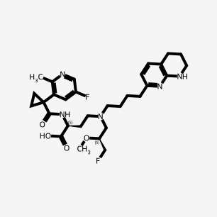 CO[C@H](CF)CN(CCCCc1ccc2c(n1)NCCC2)CC[C@H](NC(=O)C1(c2cc(F)cnc2C)CC1)C(=O)O